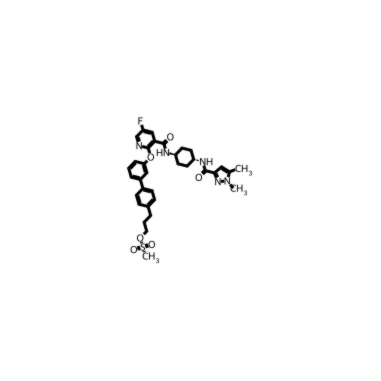 Cc1cc(C(=O)N[C@H]2CC[C@H](NC(=O)c3cc(F)cnc3Oc3cccc(-c4ccc(CCCOS(C)(=O)=O)cc4)c3)CC2)nn1C